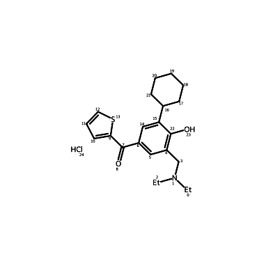 CCN(CC)Cc1cc(C(=O)c2cccs2)cc(C2CCCCC2)c1O.Cl